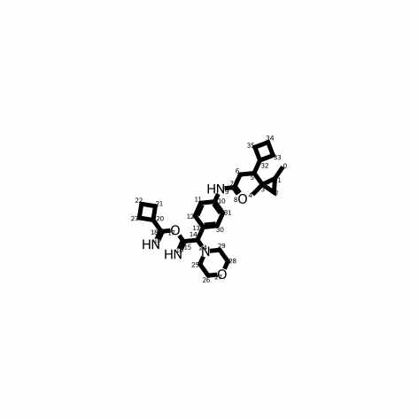 CC1CC1(C)C(CC(=O)Nc1ccc(C(C(=N)OC(=N)C2CCC2)N2CCOCC2)cc1)C1CCC1